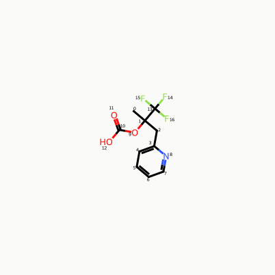 CC(Cc1ccccn1)(OC(=O)O)C(F)(F)F